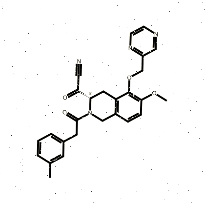 COc1ccc2c(c1OCc1cnccn1)C[C@@H](C(=O)C#N)N(C(=O)Cc1cccc(C)c1)C2